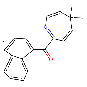 CC1(C)C=CN=C(C(=O)c2cccc3ccccc23)C=C1